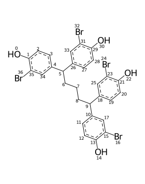 Oc1ccc(C(CCCC(c2ccc(O)c(Br)c2)c2ccc(O)c(Br)c2)c2ccc(O)c(Br)c2)cc1Br